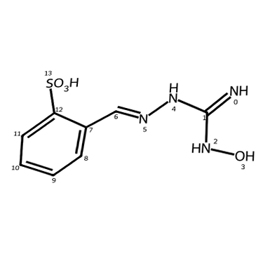 N=C(NO)NN=Cc1ccccc1S(=O)(=O)O